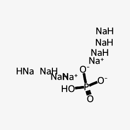 O=P([O-])([O-])O.[Na+].[Na+].[NaH].[NaH].[NaH].[NaH].[NaH].[NaH]